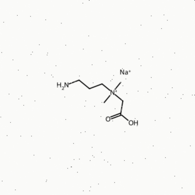 C[N+](C)(CCCN)CC(=O)O.[Na+]